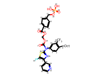 CCCCCCCCc1ccc(N(C(=O)OCOC(=O)c2ccc(COP(=O)(O)O)cc2)c2nc(-c3cccnc3)c(F)s2)cc1C(F)(F)F